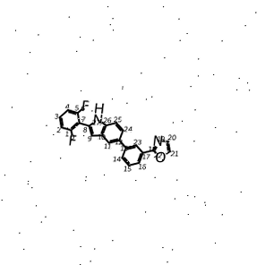 Fc1cccc(F)c1-c1cc2cc(-c3cccc(-c4ncco4)c3)ccc2[nH]1